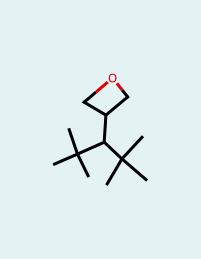 CC(C)(C)C(C1COC1)C(C)(C)C